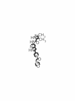 Cc1n[nH]c(C(=O)Nc2cnc3[nH]c(C4=CCN(C(=O)CN5CCOCC5)CC4)cc3c2)c1C